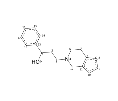 OC(CCN1CCc2sccc2C1)c1ccccc1